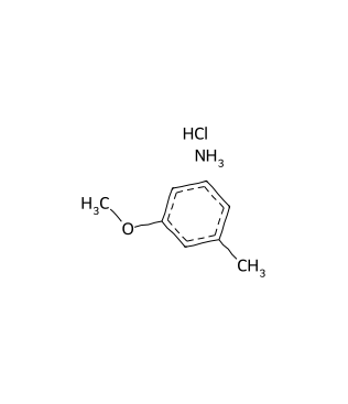 COc1cccc(C)c1.Cl.N